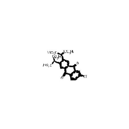 O=C1c2ccc(Cl)cc2C(=O)c2cc(C(C(=O)O)C(=O)O)c(C(C(=O)O)C(=O)O)cc21